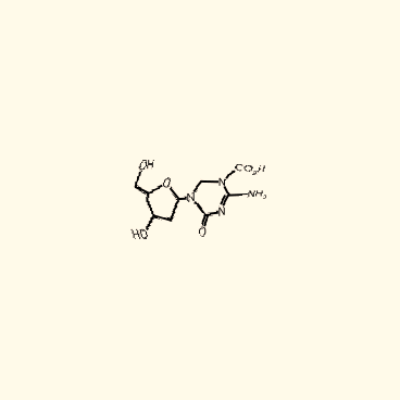 NC1=NC(=O)N(C2CC(O)C(CO)O2)CN1C(=O)O